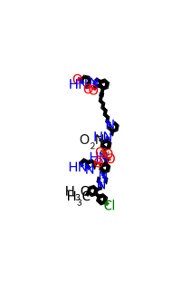 CC1(C)CCC(CN2CCN(c3ccc(C(=O)NS(=O)(=O)c4ccc(NCC5CCCN(CCCCCCCC#Cc6cccc7c6C(=O)N(C6CCC(=O)NC6=O)C7)C5)c([N+](=O)[O-])c4)c(Oc4cnc5[nH]ccc5c4)c3)CC2)=C(c2ccc(Cl)cc2)C1